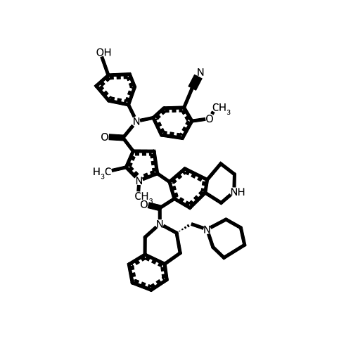 COc1ccc(N(C(=O)c2cc(-c3cc4c(cc3C(=O)N3Cc5ccccc5C[C@H]3CN3CCCCC3)CNCC4)n(C)c2C)c2ccc(O)cc2)cc1C#N